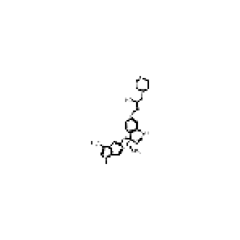 COC1(Oc2ccc3[nH]cc(C)c3c2)N=CNc2cc(OCC(O)CN3CCOCC3)ccc21